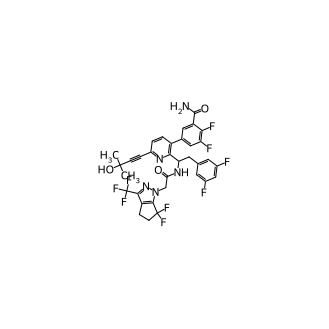 CC(C)(O)C#Cc1ccc(-c2cc(F)c(F)c(C(N)=O)c2)c(C(Cc2cc(F)cc(F)c2)NC(=O)Cn2nc(C(F)(F)F)c3c2C(F)(F)CC3)n1